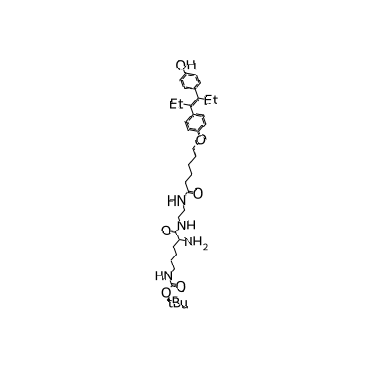 CC/C(=C(/CC)c1ccc(OCCCCCC(=O)NCCNC(=O)C(N)CCCCNC(=O)OC(C)(C)C)cc1)c1ccc(O)cc1